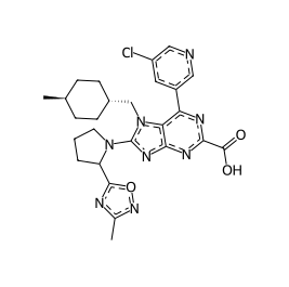 Cc1noc(C2CCCN2c2nc3nc(C(=O)O)nc(-c4cncc(Cl)c4)c3n2C[C@H]2CC[C@H](C)CC2)n1